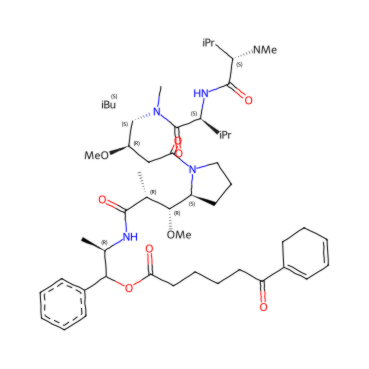 CC[C@H](C)[C@@H]([C@@H](CC(=O)N1CCC[C@H]1[C@H](OC)[C@@H](C)C(=O)N[C@H](C)C(OC(=O)CCCCC(=O)C1=CC=CCC1)c1ccccc1)OC)N(C)C(=O)[C@@H](NC(=O)[C@@H](NC)C(C)C)C(C)C